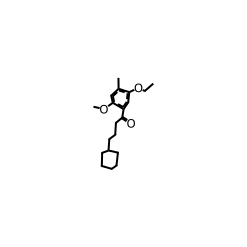 CCOc1cc(C(=O)CCCC2CCCCC2)c(OC)cc1C